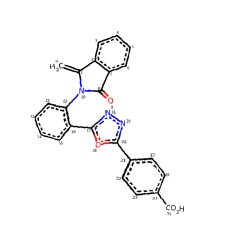 C=C1c2ccccc2C(=O)N1c1ccccc1-c1nnc(-c2ccc(C(=O)O)cc2)o1